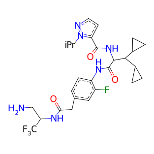 CC(C)n1nccc1C(=O)NC(C(=O)Nc1ccc(CC(=O)NC(CN)C(F)(F)F)cc1F)C(C1CC1)C1CC1